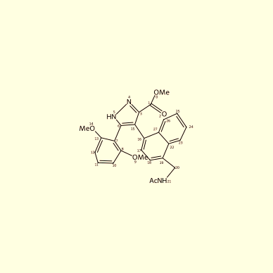 COC(=O)c1n[nH]c(-c2c(OC)cccc2OC)c1-c1ccc(CNC(C)=O)c2ccccc12